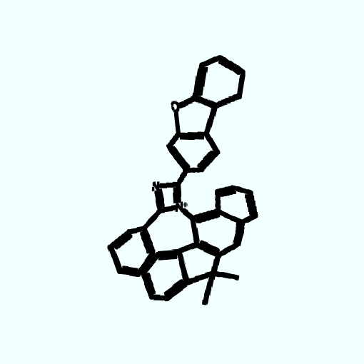 CC1(C)c2ccccc2-c2c1cc1ccccc1c2[N+]1=C(c2ccc3c(c2)OC2=CC=CCC23)N=C1c1ccccc1